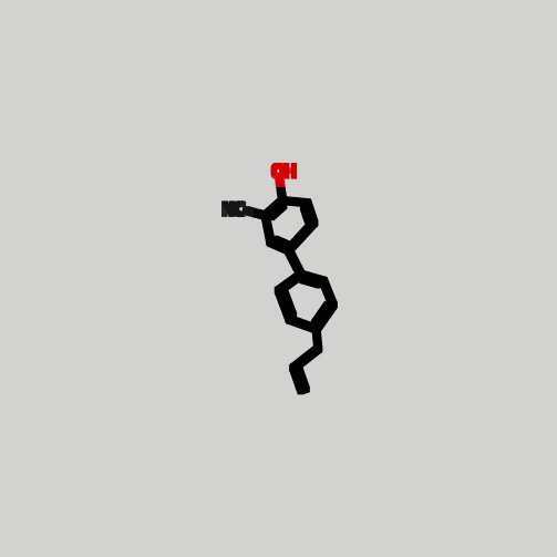 C=CCc1ccc(-c2ccc(O)c(C#N)c2)cc1